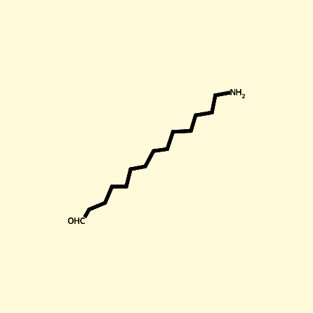 NCCCCCCCCCCCCCC=O